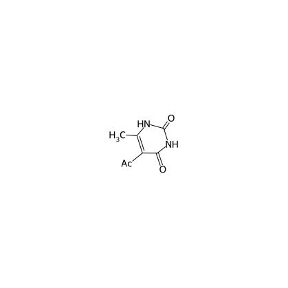 CC(=O)c1c(C)[nH]c(=O)[nH]c1=O